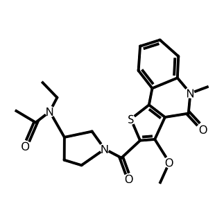 CCN(C(C)=O)C1CCN(C(=O)c2sc3c(c2OC)c(=O)n(C)c2ccccc32)C1